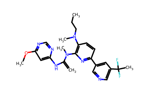 C=C(Nc1cc(OC)ncn1)N(C)c1nc(-c2cncc(C(C)(F)F)c2)ccc1N(C)CCC